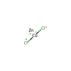 [Cl][Cu][Cl].[Zn]